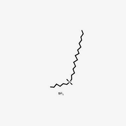 B.CCCCCCCCCCCCCCCC[N+](C)(C)CCCCCC